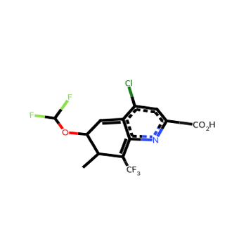 CC1C(C(F)(F)F)=c2nc(C(=O)O)cc(Cl)c2=CC1OC(F)F